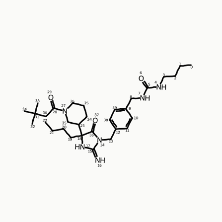 CCCCNC(=O)NCc1ccc(CN2C(=N)NC(CCCC)(C3CCCN(C(=O)CC(C)(C)C)C3)C2=O)cc1